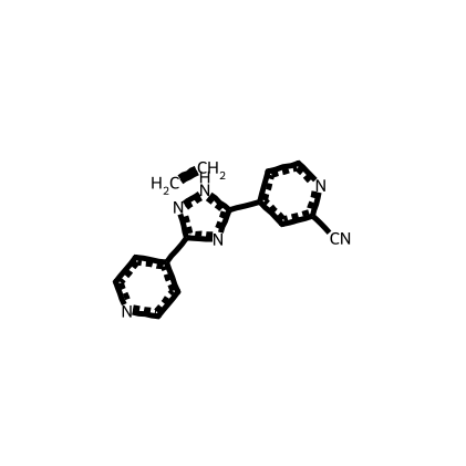 C=C.N#Cc1cc(-c2nc(-c3ccncc3)n[nH]2)ccn1